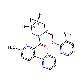 Cc1ccc(-c2ncccn2)c(C(=O)N2C[C@@H]3C[C@@H]3C[C@H]2COc2ncccc2C)n1